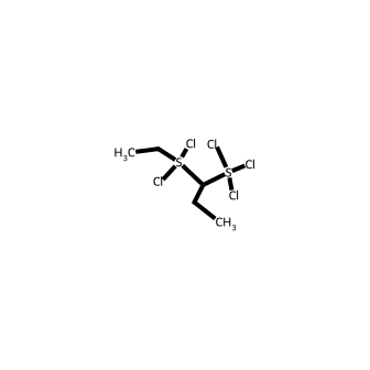 CCC(S(Cl)(Cl)Cl)S(Cl)(Cl)CC